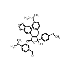 CN(C)c1ccc(C=O)cc1.COc1ccc(C2(O)OC(=O)C(c3ccc4nonc4c3)=C2Cc2ccc(N(C)C)cc2)cc1